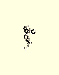 CCOC(=O)c1cn2c(n1)CN(c1nc3c(c(NC4CCCOC4)n1)[S+]([O-])CC3)CC2